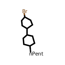 CCCCCC1CCC(C2CCC(Br)CC2)CC1